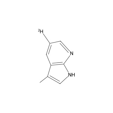 [2H]c1cnc2[nH]cc(C)c2c1